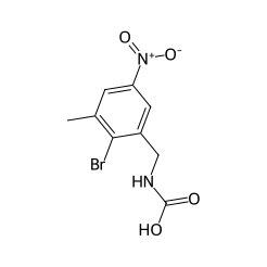 Cc1cc([N+](=O)[O-])cc(CNC(=O)O)c1Br